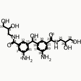 Nc1cc(C(=O)NCC(O)CO)cc(C(O)c2cc(N)cc(C(=O)NCC(O)CO)c2)c1